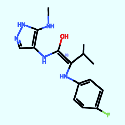 CNc1[nH]ncc1N/C(O)=C(\Nc1ccc(F)cc1)C(C)C